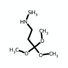 COC(CCN[SiH3])(OC)OC